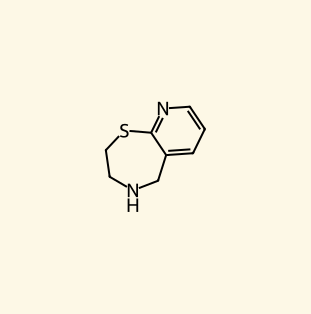 c1cnc2c(c1)CNCCS2